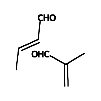 C=C(C)C=O.CC=CC=O